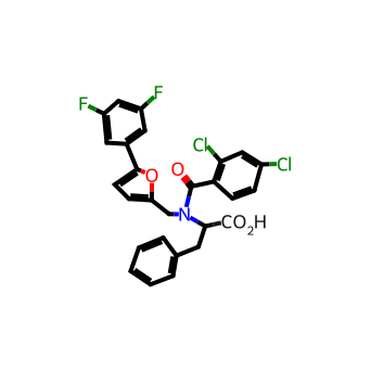 O=C(O)C(Cc1ccccc1)N(Cc1ccc(-c2cc(F)cc(F)c2)o1)C(=O)c1ccc(Cl)cc1Cl